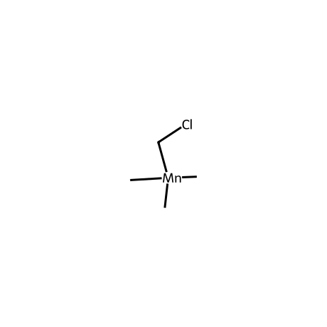 [CH3][Mn]([CH3])([CH3])[CH2]Cl